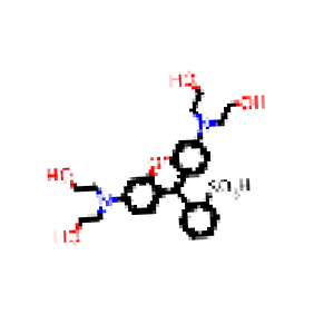 O=S(=O)(O)c1ccccc1-c1c2ccc(N(CCO)CCO)cc2[o+]c2cc(N(CCO)CCO)ccc12